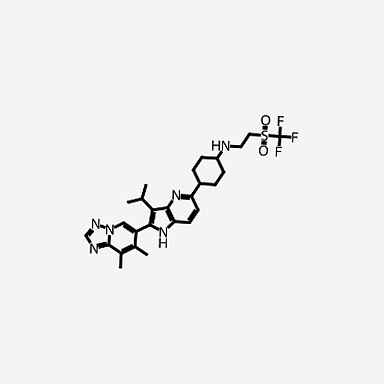 Cc1c(-c2[nH]c3ccc(C4CCC(NCCS(=O)(=O)C(F)(F)F)CC4)nc3c2C(C)C)cn2ncnc2c1C